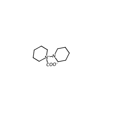 O=C([O-])[N+]1(N2CCCCC2)CCCCC1